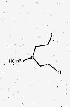 CCCCN(CCCl)CCCl.Cl